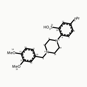 CCCc1ccc(N2CCN(Cc3ccc(OC)c(OC)c3)CC2)c(S(=O)(=O)O)c1